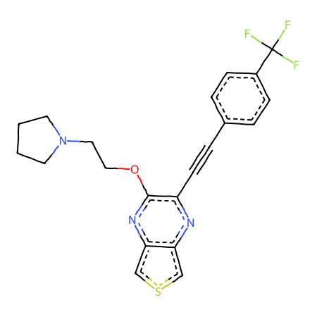 FC(F)(F)c1ccc(C#Cc2nc3cscc3nc2OCCN2CCCC2)cc1